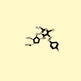 Nc1nc(Cl)c(/N=N/C2C=CC(F)=CC2)c(N[C@@H]2C[C@H](CO)[C@@H](O)[C@H]2O)n1